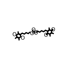 CC1=C(C)C(=O)C(CCCCCO[N+](=O)OCCCCCC2=C(C)C(=O)C(C)=C(C)C2=O)=C(C)C1=O